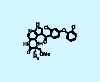 COC[C@]1(C)Nc2c(cnc3[nH]cc(C(=O)c4ccc(Oc5ccccc5Cl)cc4Cl)c23)NC1=O